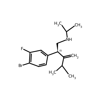 C=C(C(C)C)[C@H](CNC(C)C)c1ccc(Br)c(F)c1